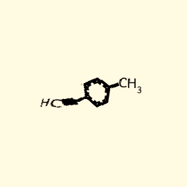 C#Cc1[c]cc(C)cc1